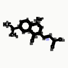 CC(C)c1ccc2ncn(/C=C/C(=O)[O-])c(=O)c2c1.[Na+]